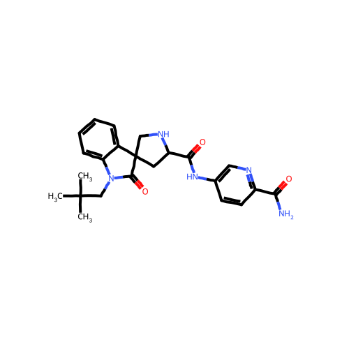 CC(C)(C)CN1C(=O)C2(CNC(C(=O)Nc3ccc(C(N)=O)nc3)C2)c2ccccc21